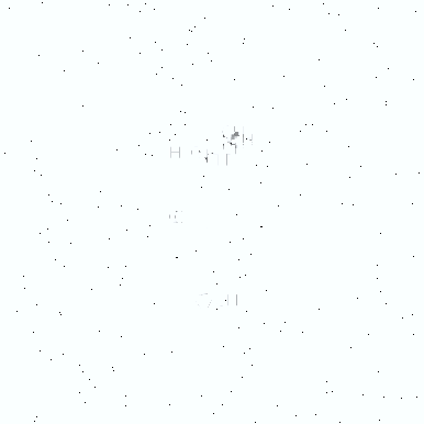 Cc1ccccc1CCCCCCCCCCCCCCCCCC[N+](C)(C)CCC[N+](C)(C)C.[Cl-].[Cl-]